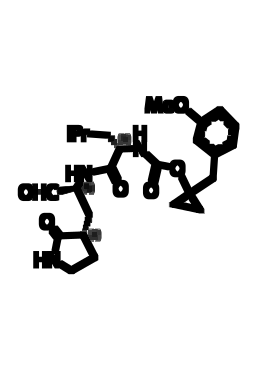 COc1cccc(CC2(OC(=O)N[C@@H](CC(C)C)C(=O)N[C@H](C=O)C[C@@H]3CCNC3=O)CC2)c1